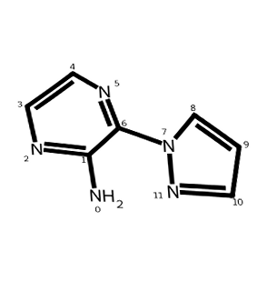 Nc1nccnc1-n1cccn1